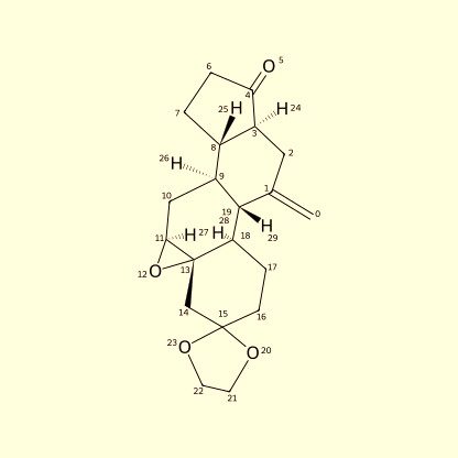 C=C1C[C@@H]2C(=O)CC[C@H]2[C@@H]2C[C@@H]3O[C@]34CC3(CC[C@@H]4[C@@H]12)OCCO3